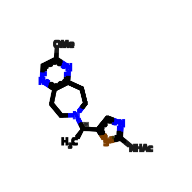 COc1cnc2c(n1)CCN([C@H](C)c1cnc(NC(C)=O)s1)CC2